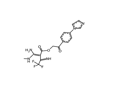 CN/C(N)=C(\C(=N)C(F)(F)F)C(=O)OCC(=O)c1ccc(-n2ccnc2)cc1